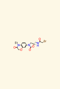 CCN1C(=O)COc2cc(N3C[C@H](CNC(=O)CBr)OC3=O)ccc21